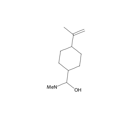 C=C(C)C1CCC(C(O)NC)CC1